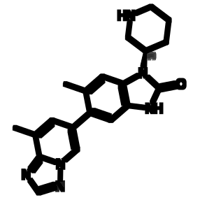 Cc1cc2c(cc1-c1cc(C)c3ncnn3c1)[nH]c(=O)n2[C@@H]1CCCNC1